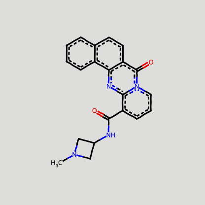 CN1CC(NC(=O)c2cccn3c(=O)c4ccc5ccccc5c4nc23)C1